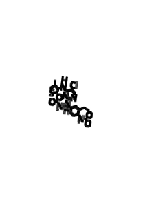 CNC(=O)Oc1scc(C)c1Nc1nc(Nc2ccc3c(c2)CCOC(=O)N3C)ncc1Cl